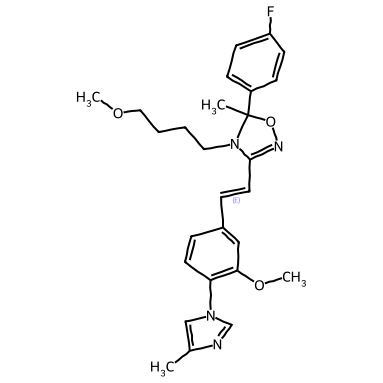 COCCCCN1C(/C=C/c2ccc(-n3cnc(C)c3)c(OC)c2)=NOC1(C)c1ccc(F)cc1